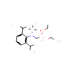 CCO[SiH](CN(c1c(C(C)C)cccc1C(C)C)[Si](C)(C)C)OCC